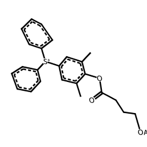 CC(=O)OCCCC(=O)Oc1c(C)cc([S+](c2ccccc2)c2ccccc2)cc1C